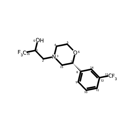 OC(CN1CCO[C@H](c2cccc(C(F)(F)F)c2)C1)C(F)(F)F